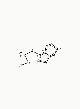 C[C@@H](CCl)Cn1ncc2ccccc21